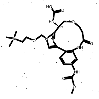 COC(=O)Nc1ccc2c(c1)NC(=O)CCOC[C@H](NC(=O)O)c1nc-2cn1COCC[Si](C)(C)C